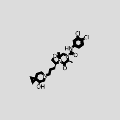 C[C@H]1C(=O)N2[C@@H](CCCN3CCC4(CC4)[C@H](O)C3)COC2(C)CN1C(=O)Nc1ccc(Cl)c(Cl)c1